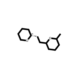 CC1CCCC(CC[C@H]2CCCCO2)O1